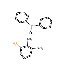 CP(c1ccccc1)c1ccccc1.Cc1cccc(P)c1C